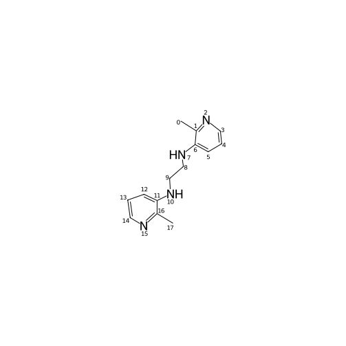 Cc1ncccc1NCCNc1cccnc1C